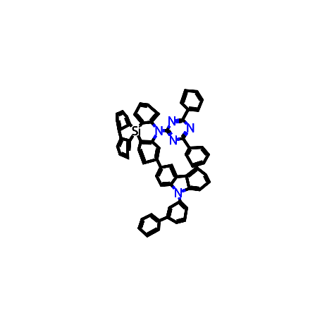 c1ccc(-c2cccc(-n3c4ccccc4c4cc(-c5ccc6c(c5)N(c5nc(-c7ccccc7)nc(-c7ccccc7)n5)c5ccccc5[Si]65c6ccccc6-c6ccccc65)ccc43)c2)cc1